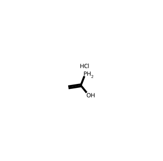 C=C(O)P.Cl